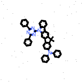 CC1(C)c2cc(N(c3ccccc3)c3ccccc3)ccc2-c2cc3c(cc21)c1ccccc1n3-c1nc(-c2ccccc2)nc(-c2ccccc2)n1